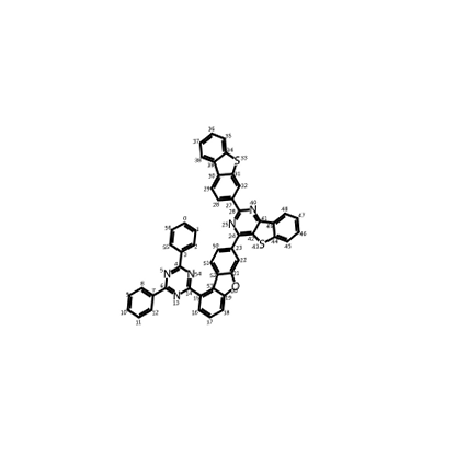 c1ccc(-c2nc(-c3ccccc3)nc(-c3cccc4oc5cc(-c6nc(-c7ccc8c(c7)sc7ccccc78)nc7c6sc6ccccc67)ccc5c34)n2)cc1